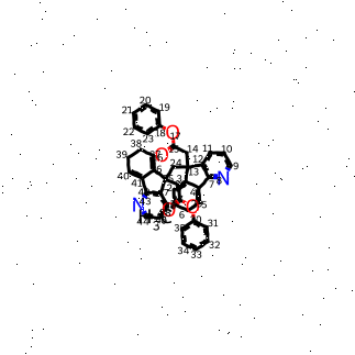 CC1C=C2C(=CC1)c1ncccc1C2(CC(=O)Oc1ccccc1)CC1(CC(=O)Oc2ccccc2)C2=CCCC=C2c2ncccc21